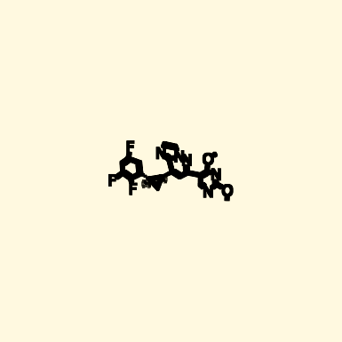 COc1ncc(-c2cc([C@H]3C[C@@H]3c3cc(F)cc(F)c3F)c3nccn3n2)c(OC)n1